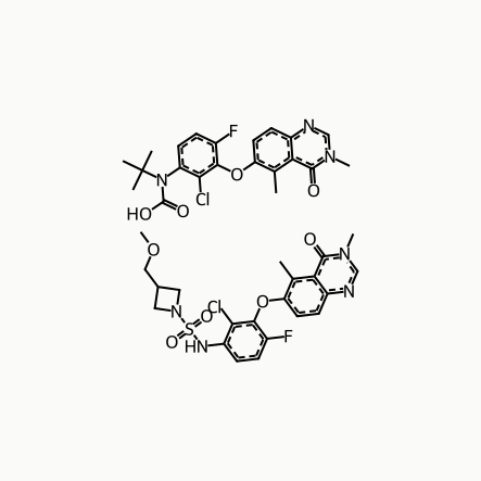 COCC1CN(S(=O)(=O)Nc2ccc(F)c(Oc3ccc4ncn(C)c(=O)c4c3C)c2Cl)C1.Cc1c(Oc2c(F)ccc(N(C(=O)O)C(C)(C)C)c2Cl)ccc2ncn(C)c(=O)c12